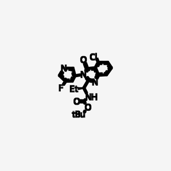 CC[C@H](NC(=O)OC(C)(C)C)c1nc2cccc(Cl)c2c(=O)n1-c1cncc(F)c1